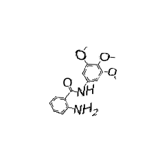 COc1cc(NC(=O)c2ccccc2N)cc(OC)c1OC